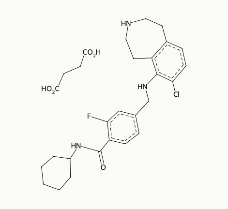 O=C(NC1CCCCC1)c1ccc(CNc2c(Cl)ccc3c2CCNCC3)cc1F.O=C(O)CCC(=O)O